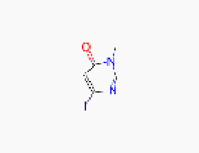 Cn1cnc(I)cc1=O